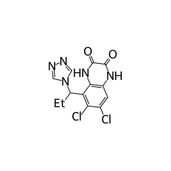 CCC(c1c(Cl)c(Cl)cc2[nH]c(=O)c(=O)[nH]c12)n1cnnc1